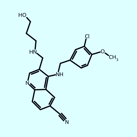 COc1ccc(CNc2c(CNCCCO)cnc3ccc(C#N)cc23)cc1Cl